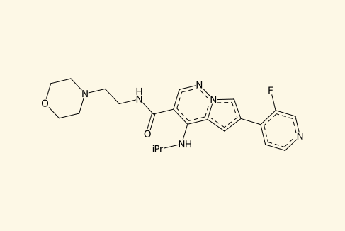 CC(C)Nc1c(C(=O)NCCN2CCOCC2)cnn2cc(-c3ccncc3F)cc12